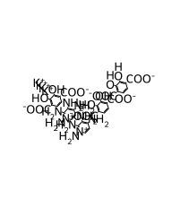 Nc1cc[n+](N)c(N)c1N.Nc1cc[n+](N)c(N)c1N.O=C([O-])c1ccc(C(=O)[O-])c(O)c1O.O=C([O-])c1ccc(C(=O)[O-])c(O)c1O.O=C([O-])c1ccc(C(=O)[O-])c(O)c1O.[K+].[K+].[K+].[K+]